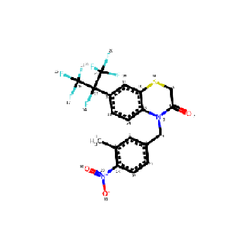 Cc1cc(CN2C(=O)CSc3cc(C(F)(C(F)(F)F)C(F)(F)F)ccc32)ccc1[N+](=O)[O-]